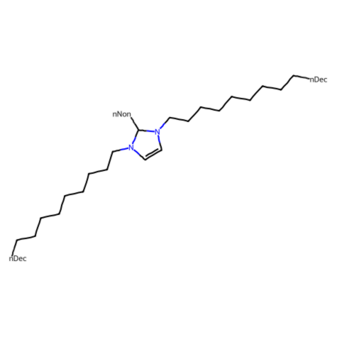 CCCCCCCCCCCCCCCCCCCN1C=CN(CCCCCCCCCCCCCCCCCCC)C1CCCCCCCCC